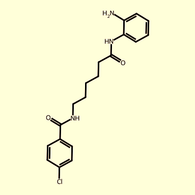 Nc1ccccc1NC(=O)CCCCCNC(=O)c1ccc(Cl)cc1